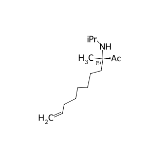 C=CCCCCCC[C@](C)(NC(C)C)C(C)=O